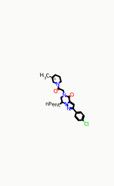 CCCCCC1CN(CC(=O)N2CCC[C@H](C)C2)C(=O)c2cc(-c3ccc(Cl)cc3)nn21